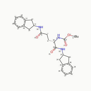 CC(C)(C)OC(=O)N[C@@H](CCC(=O)NC1Cc2ccccc2C1)C(=O)NC1Cc2ccccc2C1